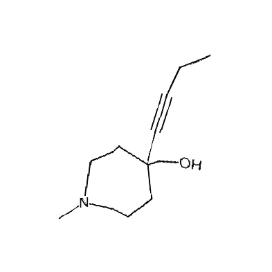 CCC#CC1(O)CCN(C)CC1